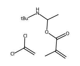 C=C(C)C(=O)OC(C)NC(C)(C)C.C=C(Cl)Cl